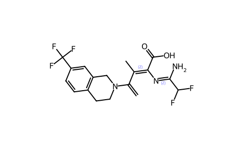 C=C(/C(C)=C(\N=C(/N)C(F)F)C(=O)O)N1CCc2ccc(C(F)(F)F)cc2C1